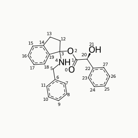 O=C(OC1(NCc2ccccc2)CCc2ccccc21)[C@@H](O)c1ccccc1